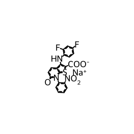 O=C([O-])c1sc2c(ccc(=O)n2-c2ccccc2[N+](=O)[O-])c1Nc1ccc(F)cc1F.[Na+]